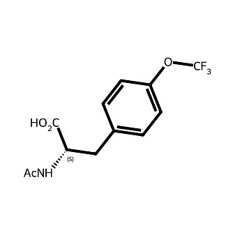 CC(=O)N[C@@H](Cc1ccc(OC(F)(F)F)cc1)C(=O)O